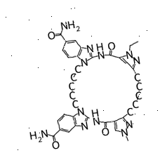 CCn1nc2cc1C(=O)Nc1nc3cc(C(N)=O)ccc3n1CCCCCn1c(nc3cc(C(N)=O)ccc31)NC(=O)c1cn(C)nc1CCCCC2